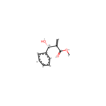 C=C(C(=O)OC)[C@@H](O)c1ccccc1